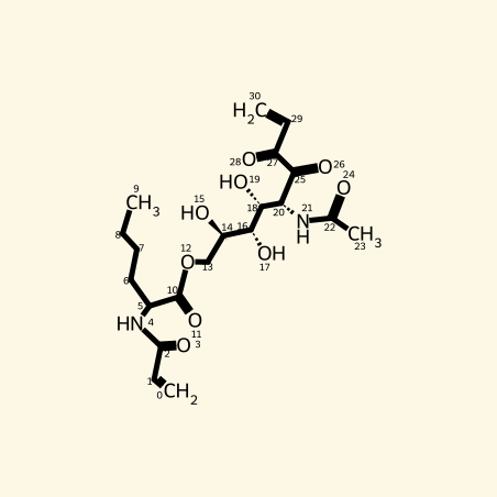 C=CC(=O)NC(CCCC)C(=O)OC[C@@H](O)[C@@H](O)[C@H](O)[C@@H](NC(C)=O)C(=O)C(=O)C=C